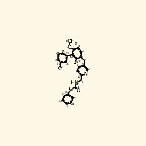 COc1ccc(Cc2ccc(CNC(=O)Oc3ccccc3)nc2)c(F)c1-c1cccc(Cl)c1